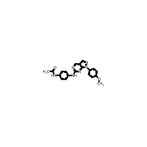 COc1ccc(-n2ncc3cnc(Nc4ccc(NC(C)=O)cc4)nc32)cc1